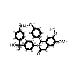 COc1cc2c(cc1OC(C)C)[C@H](c1ccc(Cl)cc1)N(c1ccc([C@](C)(O)c3ccc(NC(C)=O)cc3)cc1)C(=O)C2